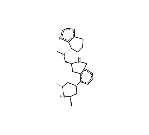 C[C@@H]1CN(c2cccc3c2C[C@@H](CN(C)[C@H]2CCCc4cccnc42)NC3)C[C@@H](C)N1